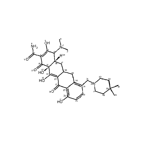 CN(C)C1C(O)=C(C(N)=O)C(=O)[C@@]2(O)C(O)=C3C(=O)c4c(O)ccc(CN5CCC(C)(C)CC5)c4CC3C[C@@H]12